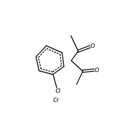 CC(=O)CC(C)=O.Clc1ccccc1.[Cr]